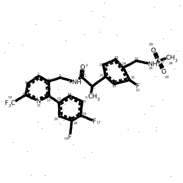 CC(C(=O)NCc1ccc(C(F)(F)F)nc1-c1ccc(F)c(F)c1)c1ccc(CNS(C)(=O)=O)c(F)c1